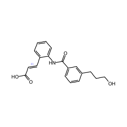 O=C(O)/C=C/c1ccccc1NC(=O)c1cccc(CCCO)c1